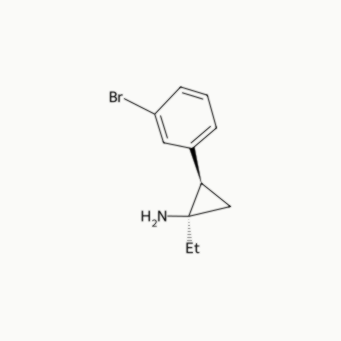 CC[C@@]1(N)C[C@@H]1c1cccc(Br)c1